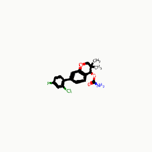 CC1(C)COc2cc(-c3ccc(F)cc3Cl)ccc2C1OC(N)=O